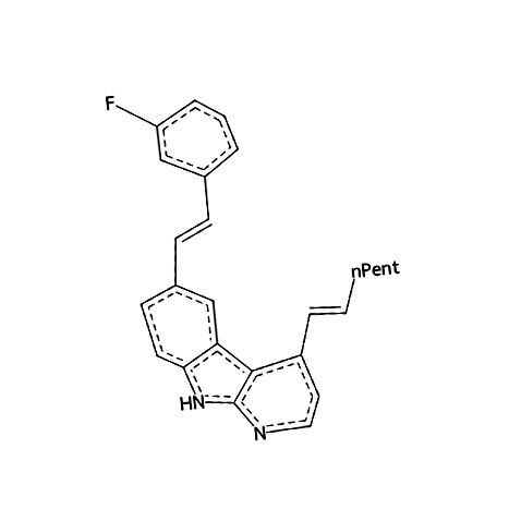 CCCCCC=Cc1ccnc2[nH]c3ccc(C=Cc4cccc(F)c4)cc3c12